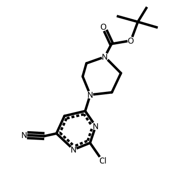 CC(C)(C)OC(=O)N1CCN(c2cc(C#N)nc(Cl)n2)CC1